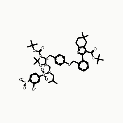 CC(C)CN(C[C@H]1OC(C)(C)N(C(=O)OC(C)(C)C)[C@H]1Cc1ccc(OCc2ccccc2-c2sc3c(c2C(=O)OC(C)(C)C)CC(C)(C)CC3)cc1)S(=O)(=O)c1ccc([N+](=O)[O-])c(Br)c1